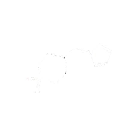 O=S1(=O)CCC(Cn2cccc2)CC1